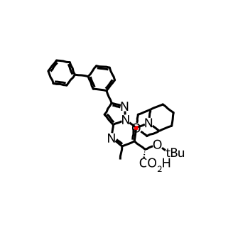 Cc1nc2cc(-c3cccc(-c4ccccc4)c3)nn2c(N2C3CCCC2COC3)c1[C@H](OC(C)(C)C)C(=O)O